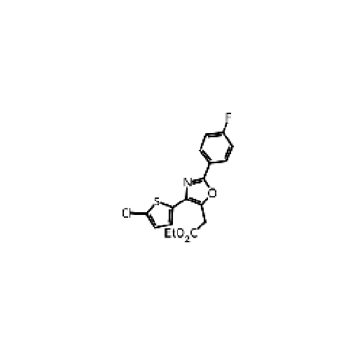 CCOC(=O)Cc1oc(-c2ccc(F)cc2)nc1-c1ccc(Cl)s1